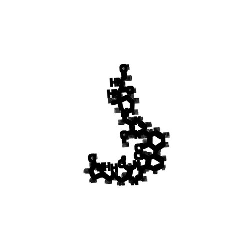 COc1nc(-c2cccc(-c3cccc(-c4cnc(CN5CCCC(C)(NC(=O)NC=O)C5)c(OC)n4)c3Cl)c2Cl)cnc1CNCC1CCC(=O)N1